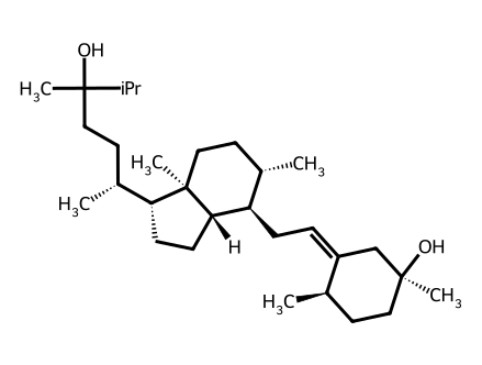 CC(C)C(C)(O)CC[C@@H](C)[C@H]1CC[C@H]2[C@H](C/C=C3/C[C@@](C)(O)CC[C@H]3C)[C@@H](C)CC[C@]12C